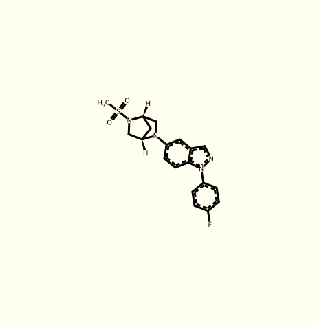 CS(=O)(=O)N1C[C@@H]2C[C@H]1CN2c1ccc2c(cnn2-c2ccc(F)cc2)c1